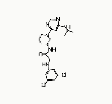 CC(C)Nc1cc(N2CCCC(NC(=O)CNc3cc(Cl)cc(Cl)c3)C2)ncn1